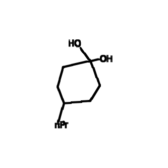 CCCC1CCC(O)(O)CC1